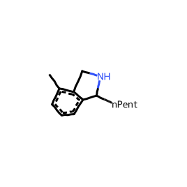 CCCCCC1NCc2c(C)cccc21